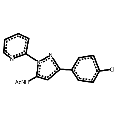 CC(=O)Nc1cc(-c2ccc(Cl)cc2)nn1-c1ccccn1